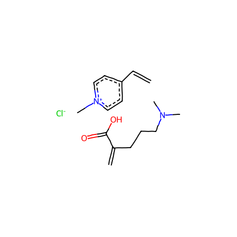 C=C(CCCN(C)C)C(=O)O.C=Cc1cc[n+](C)cc1.[Cl-]